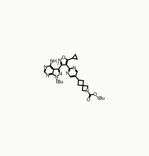 CC(C)(C)OC(=O)N1CC2(CC(c3cnc(-c4c(-c5nn(C(C)(C)C)c6ncnc(N)c56)noc4C4CC4)nc3)C2)C1